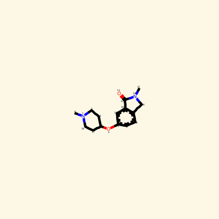 CN1CCC(Oc2ccc3c(c2)C(=O)N(C)C3)CC1